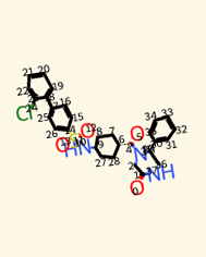 O=C1CN(C(=O)[C@H]2CC[C@H](NS(=O)(=O)c3ccc(-c4ccccc4Cl)cc3)CC2)[C@@H](c2ccccc2)CN1